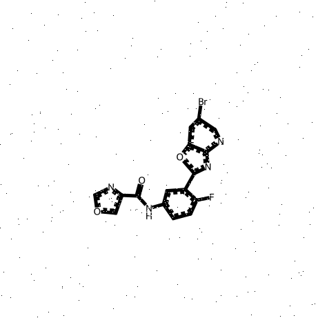 O=C(Nc1ccc(F)c(-c2nc3ncc(Br)cc3o2)c1)c1cocn1